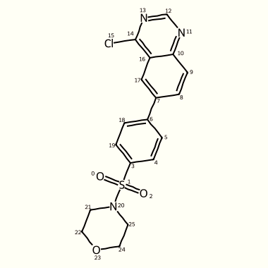 O=S(=O)(c1ccc(-c2ccc3ncnc(Cl)c3c2)cc1)N1CCOCC1